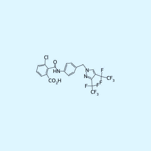 O=C(O)c1cccc(Cl)c1C(=O)Nc1ccc(Cn2cc(C(F)(F)C(F)(F)F)c(C(F)(F)C(F)(F)F)n2)cc1